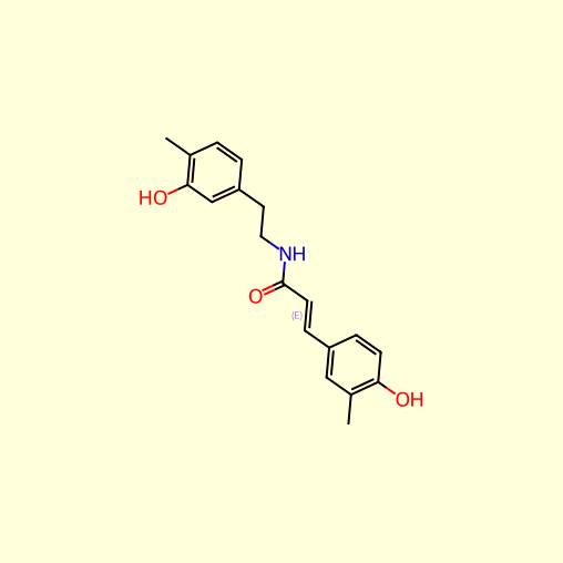 Cc1cc(/C=C/C(=O)NCCc2ccc(C)c(O)c2)ccc1O